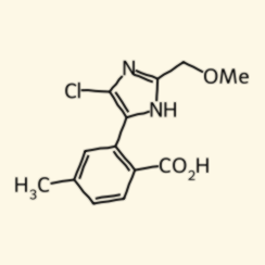 COCc1nc(Cl)c(-c2cc(C)ccc2C(=O)O)[nH]1